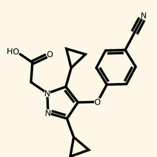 N#Cc1ccc(Oc2c(C3CC3)nn(CC(=O)O)c2C2CC2)cc1